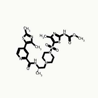 COC(=O)Nc1nc(C)c(S(=O)(=O)N2CCN(C[C@H](C)NC(=O)c3cc(-c4sc(C)nc4C)ccn3)CC2)s1